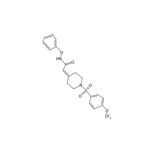 O=C(C=C1CCN(S(=O)(=O)c2ccc(OC(F)(F)F)cc2)CC1)NOc1ccccc1